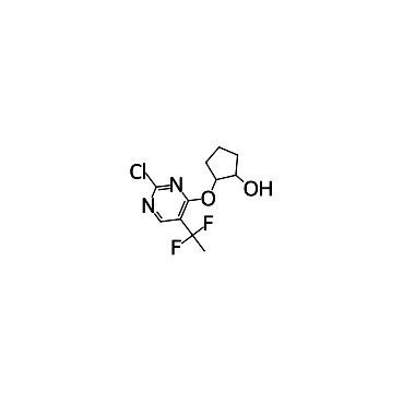 CC(F)(F)c1cnc(Cl)nc1OC1CCCC1O